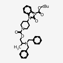 CC(COC(=O)N1CCC(n2c(=O)n(C(=O)OC(C)(C)C)c3ccccc32)CC1)N(Cc1ccccc1)Cc1ccccc1